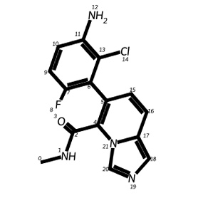 CNC(=O)c1c(-c2c(F)ccc(N)c2Cl)ccc2cncn12